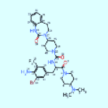 CN(C)C1CCN(C(=O)C(Cc2cc(Br)c(N)c(C(F)(F)F)c2)NC(=O)N2CCC(N3CCc4ccccc4NC3=O)CC2)CC1